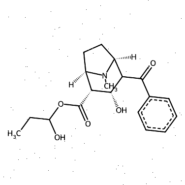 CCC(O)OC(=O)[C@@H]1[C@H]2CC[C@@H](C(C(=O)c3ccccc3)[C@@H]1O)N2C